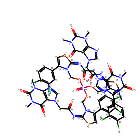 Cn1c(=O)c2c(ncn2CC(=O)/N=c2/scc(-c3ccc(Cl)c(Cl)c3)n2COP(=O)(OCn2c(-c3ccc(Cl)c(Cl)c3)cs/c2=N/C(=O)Cn2cnc3c2c(=O)n(C)c(=O)n3C)OCn2c(-c3ccc(Cl)c(Cl)c3)cs/c2=N/C(=O)Cn2cnc3c2c(=O)n(C)c(=O)n3C)n(C)c1=O